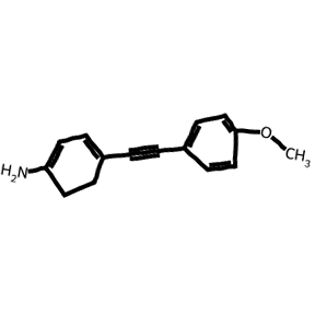 COc1ccc(C#CC2=CC=C(N)CC2)cc1